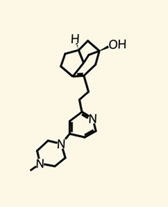 CN1CCN(c2ccnc(CCC3=C4CC[C@H]5C[C@](O)(C3)CC45)c2)CC1